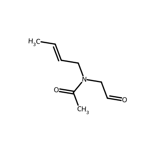 CC=CCN(CC=O)C(C)=O